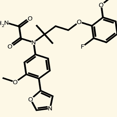 COc1cc(N(C(=O)C(N)=O)C(C)(C)CCOc2c(F)cccc2OC)ccc1-c1cnco1